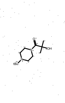 CC(C)(O)C(=O)N1CCN(C(C)(C)C)CC1